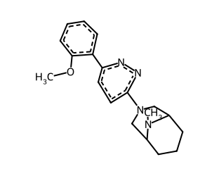 COc1ccccc1-c1ccc(N2CC3CCCC(C2)N3C)nn1